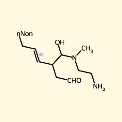 CCCCCCCCCC/C=C/C(CC=O)C(O)N(C)CCN